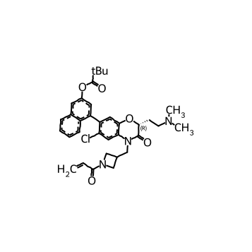 C=CC(=O)N1CC(CN2C(=O)[C@@H](CCN(C)C)Oc3cc(-c4cc(OC(=O)C(C)(C)C)cc5ccccc45)c(Cl)cc32)C1